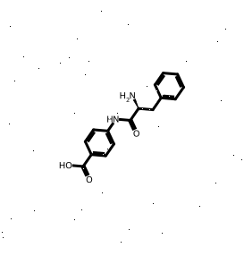 N[C@@H](Cc1ccccc1)C(=O)Nc1ccc(C(=O)O)cc1